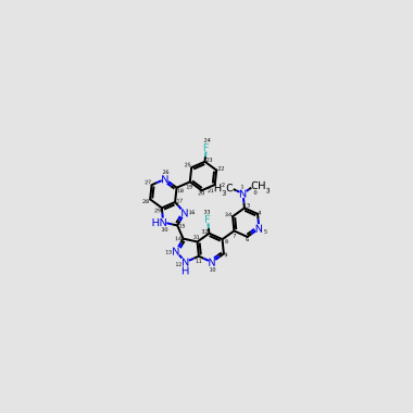 CN(C)c1cncc(-c2cnc3[nH]nc(-c4nc5c(-c6cccc(F)c6)nccc5[nH]4)c3c2F)c1